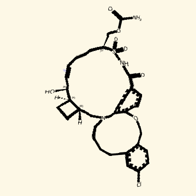 NC(=O)OC[C@@H]1CC/C=C\[C@H](O)[C@@H]2CC[C@H]2CN2CCCCc3cc(Cl)ccc3COc3ccc(cc32)C(=O)NS1(=O)=O